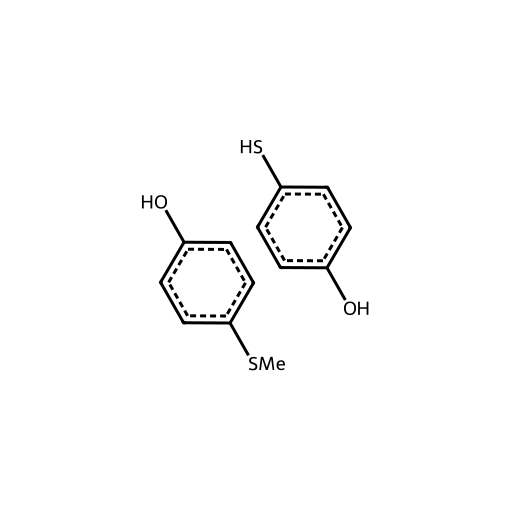 CSc1ccc(O)cc1.Oc1ccc(S)cc1